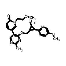 COCCn1cc(-c2cnc(C)nc2OCC2C(C)C2c2ccc(OC)cn2)ccc1=O